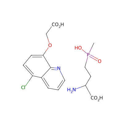 CP(=O)(O)CCC(N)C(=O)O.O=C(O)COc1ccc(Cl)c2cccnc12